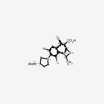 CN[C@H]1CCN(c2c(F)cc3c(=O)c(C(=O)O)c4n(c3c2F)C(C)S4)C1